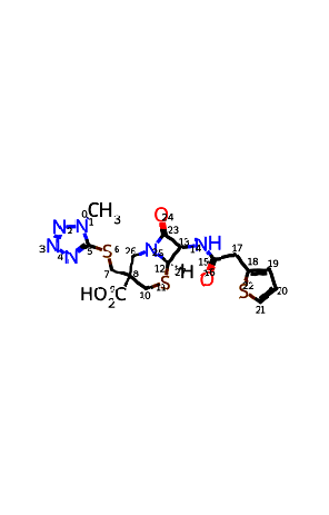 Cn1nnnc1SCC1(C(=O)O)CS[C@@H]2C(NC(=O)Cc3cccs3)C(=O)N2C1